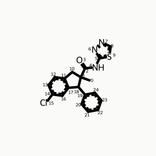 CC1(C(=O)Nc2nncs2)Cc2ccc(Cl)cc2C1c1ccccc1